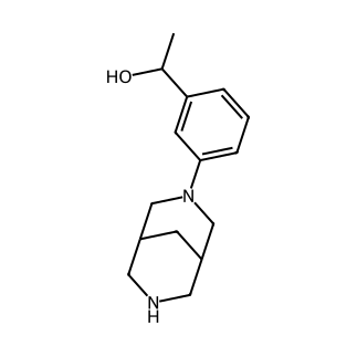 CC(O)c1cccc(N2CC3CNCC(C3)C2)c1